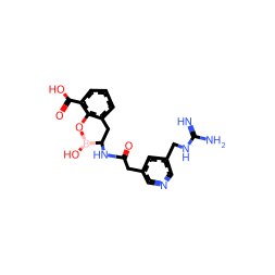 N=C(N)NCc1cncc(CC(=O)NC2Cc3cccc(C(=O)O)c3OB2O)c1